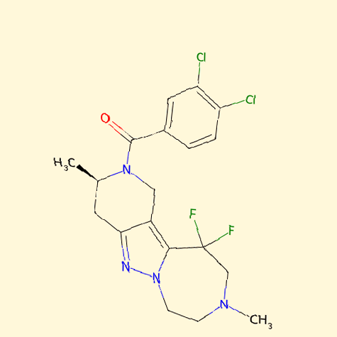 C[C@@H]1Cc2nn3c(c2CN1C(=O)c1ccc(Cl)c(Cl)c1)C(F)(F)CN(C)CC3